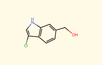 OCc1ccc2c(Cl)c[nH]c2c1